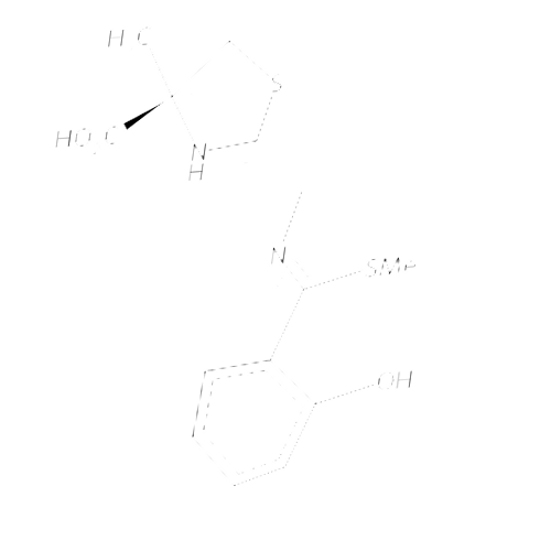 CS/C(=N\C[C@@H]1N[C@@](C)(C(=O)O)CS1)c1ccccc1O